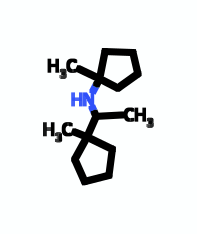 CC(NC1(C)CCCC1)C1(C)CCCC1